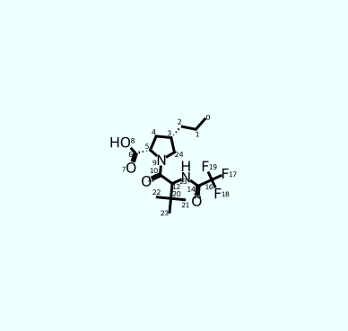 CCC[C@H]1C[C@@H](C(=O)O)N(C(=O)C(NC(=O)C(F)(F)F)C(C)(C)C)C1